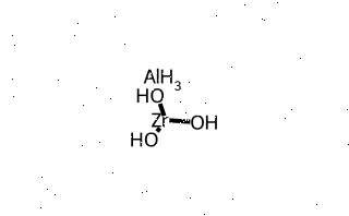 [AlH3].[OH][Zr]([OH])[OH]